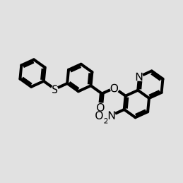 O=C(Oc1c([N+](=O)[O-])ccc2cccnc12)c1cccc(Sc2ccccc2)c1